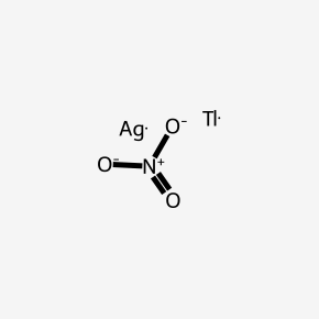 O=[N+]([O-])[O-].[Ag].[Tl]